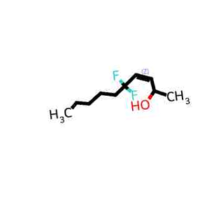 CCCCCC(F)(F)/C=C\C(C)O